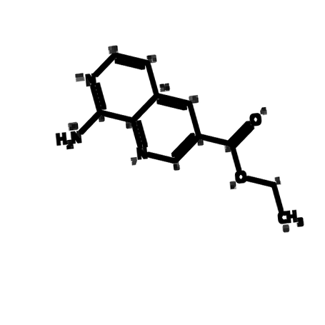 CCOC(=O)c1cnc2c(N)nccc2c1